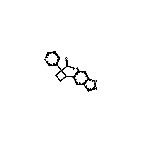 NC(=O)C1(c2cccnc2)CCC1c1ccc2[nH]ncc2c1